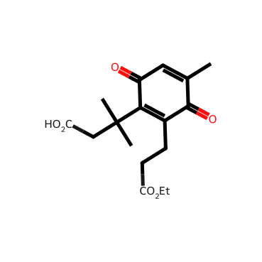 CCOC(=O)CCC1=C(C(C)(C)CC(=O)O)C(=O)C=C(C)C1=O